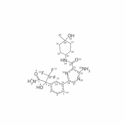 Cc1ccc(C(O)(C(N)=O)C(F)(F)F)cc1-c1cnc(N)c(C(=O)NC2CCC(C)(O)CC2)n1